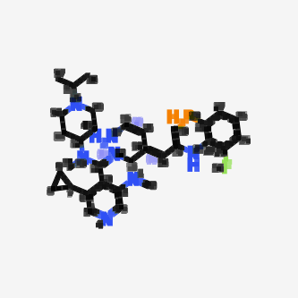 C=Nc1cncc(C2CC2)c1/C(=N\CC(/C=C\N)=C/C(=C)Nc1c(F)cccc1P)N(C)C1CCN(C(C)C)CC1